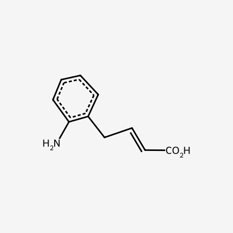 Nc1ccccc1CC=CC(=O)O